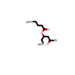 CCCCCCCCCCCCCC(=O)OC(CCCCCCCCCCC)CC(=O)C(C)C